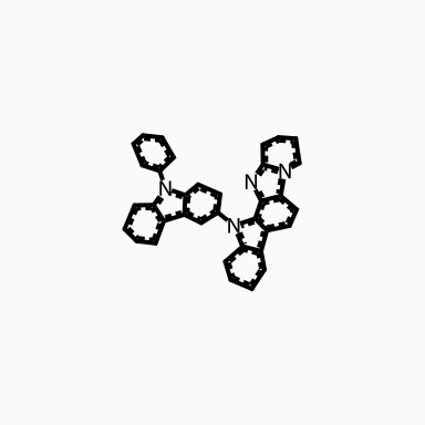 c1ccc(-n2c3ccccc3c3cc(-n4c5ccccc5c5ccc6c(nc7ccccn76)c54)ccc32)cc1